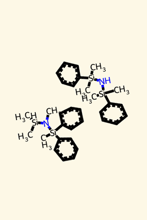 CN([SiH](C)C)[Si](C)(c1ccccc1)c1ccccc1.C[Si](C)(N[Si](C)(C)c1ccccc1)c1ccccc1